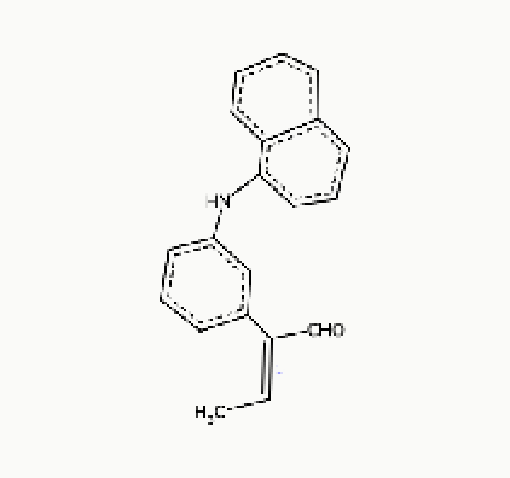 C/C=C(/C=O)c1cccc(Nc2cccc3ccccc23)c1